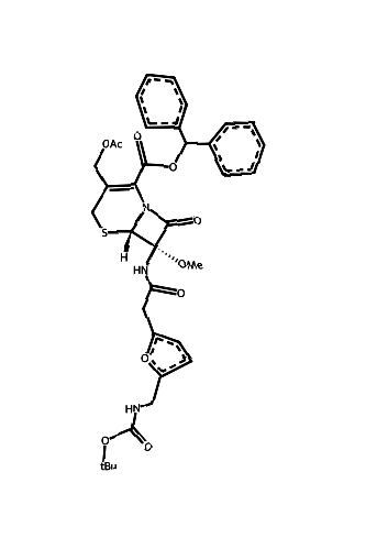 CO[C@@]1(NC(=O)Cc2ccc(CNC(=O)OC(C)(C)C)o2)C(=O)N2C(C(=O)OC(c3ccccc3)c3ccccc3)=C(COC(C)=O)CS[C@H]21